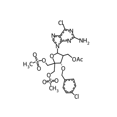 CC(=O)OCC1C(n2cnc3c(Cl)nc(N)nc32)OC(COS(C)(=O)=O)(COS(C)(=O)=O)[C@H]1OCc1ccc(Cl)cc1